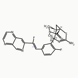 CN(C)C(=O)[C@]12C[C@H]1[C@@](C)(c1cc(/C=C(\F)c3cc4nccnc4cn3)ccc1F)N=C(N)S2